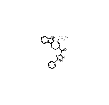 CCOC(=O)C1=CN(C(=O)c2nnc(-c3ccccc3)o2)CCc2c1[nH]c1ccccc21